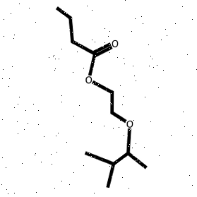 CCCC(=O)OCCOC(C)C(C)C